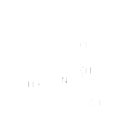 CC[N+](C)(C)c1ccccc1.[Cl-]